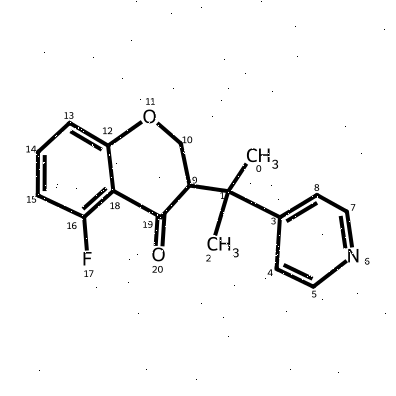 CC(C)(c1ccncc1)C1COc2cccc(F)c2C1=O